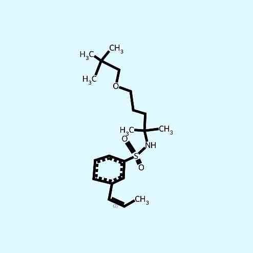 C/C=C\c1cccc(S(=O)(=O)NC(C)(C)CCCOCC(C)(C)C)c1